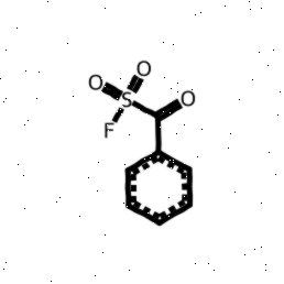 O=C(c1ccccc1)S(=O)(=O)F